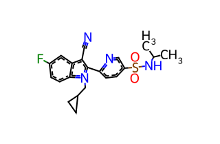 CC(C)NS(=O)(=O)c1ccc(-c2c(C#N)c3cc(F)ccc3n2CC2CC2)nc1